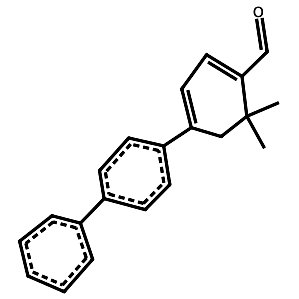 CC1(C)CC(c2ccc(-c3ccccc3)cc2)=CC=C1C=O